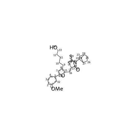 COc1cccc(-c2cc(CCCCCO)c(/C=C3\SC(=S)N(C4CC5CCC4C5)C3=O)o2)c1